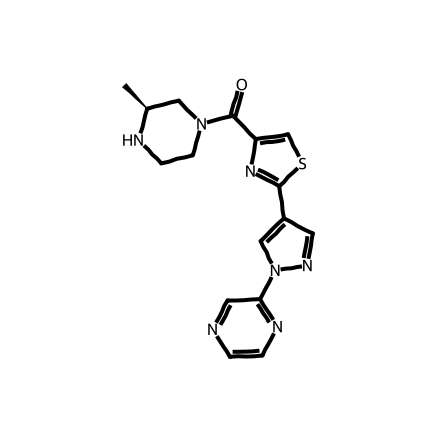 C[C@H]1CN(C(=O)c2csc(-c3cnn(-c4cnccn4)c3)n2)CCN1